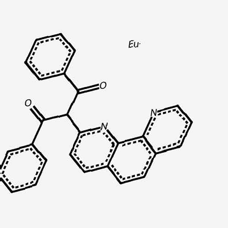 O=C(c1ccccc1)C(C(=O)c1ccccc1)c1ccc2ccc3cccnc3c2n1.[Eu]